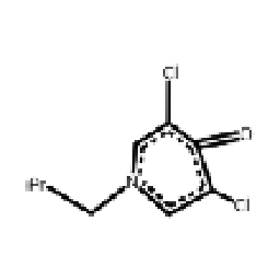 CC(C)Cn1cc(Cl)c(=O)c(Cl)c1